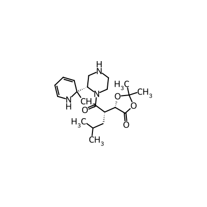 CC(C)C[C@H](C(=O)N1CCNC[C@H]1C1(C)C=CC=CN1)[C@@H]1OC(C)(C)OC1=O